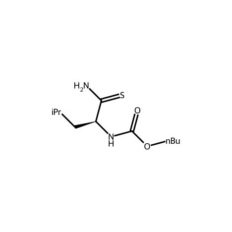 CCCCOC(=O)N[C@@H](CC(C)C)C(N)=S